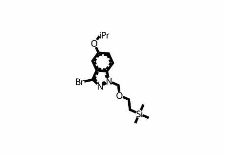 CC(C)Oc1ccc2c(c1)c(Br)nn2COCC[Si](C)(C)C